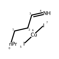 CCCCCC=N.[I][Cu][I]